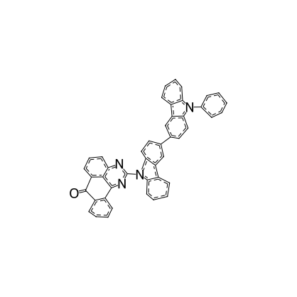 O=C1c2ccccc2-c2nc(-n3c4ccccc4c4cc(-c5ccc6c(c5)c5ccccc5n6-c5ccccc5)ccc43)nc3cccc1c23